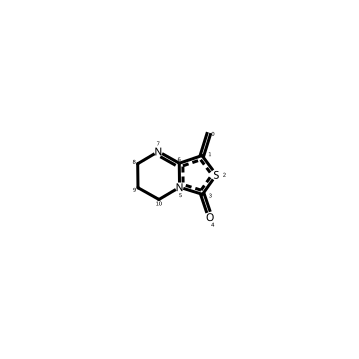 C=c1sc(=O)n2c1=NCCC2